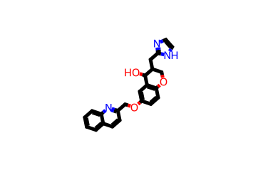 OC1c2cc(OCc3ccc4ccccc4n3)ccc2OCC1Cc1ncc[nH]1